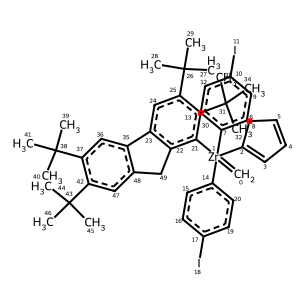 [CH2]=[Zr]([C]1=CC=CC1)([c]1ccc(I)cc1)([c]1ccc(I)cc1)[c]1c2c(cc(C(C)(C)C)c1C(C)(C)C)-c1cc(C(C)(C)C)c(C(C)(C)C)cc1C2